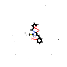 CSC1=NC(=Cc2ccccc2O)C(=O)N1Cc1ccco1